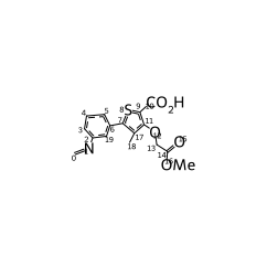 C=Nc1cccc(-c2sc(C(=O)O)c(OCC(=O)OC)c2C)c1